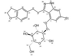 CCc1cc(OO[C@@H]2[C@@H](O)[C@H](O)[C@@H](CO)O[C@H]2O)c2c(CCc3ccc4c(c3)CCO4)n[nH]c2c1